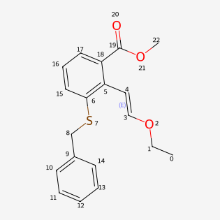 CCO/C=C/c1c(SCc2ccccc2)cccc1C(=O)OC